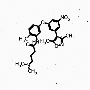 Cc1ccc(Oc2cc(-c3c(C)noc3C)cc([N+](=O)[O-])c2)cc1NC(=O)CCCN(C)C